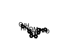 COc1nc(-c2cccc(-c3cccc(-c4ccc5c(n4)CCCC5NCC4CCC(=O)N4)c3Cl)c2Cl)ccc1CNC[C@H]1CCC(=O)N1